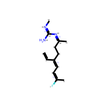 C=C/C(=C\C=C(/C)F)CC/C(C)=N\C(N)=N/C